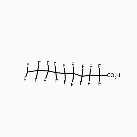 O=C(O)C(F)(F)C(F)(F)C(F)(F)C(F)(F)C(F)(F)C(F)(F)C(F)(F)C(F)(F)C(F)F